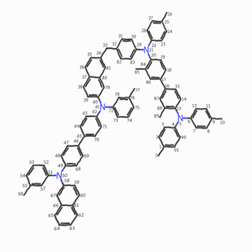 Cc1ccc(N(c2ccc(C)cc2)c2ccc(-c3ccc(N(c4ccc(C)cc4)c4ccc(Cc5ccc6ccc(N(c7ccc(-c8ccc(N(c9cccc(C)c9)c9ccc%10ccccc%10c9)cc8)cc7)c7cccc(C)c7)cc6c5)cc4)c(C)c3)cc2C)cc1